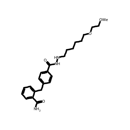 COCCOCCCCCCNNC(=O)c1ccc(Cc2ccccc2C(N)=O)cc1